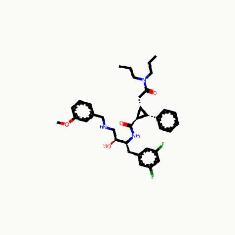 CCCN(CCC)C(=O)C[C@H]1[C@H](C(=O)N[C@@H](Cc2cc(F)cc(F)c2)[C@@H](O)CNCc2cccc(OC)c2)[C@H]1c1ccccc1